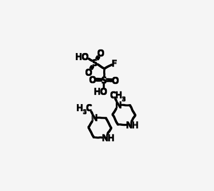 CN1CCNCC1.CN1CCNCC1.O=S(=O)(O)C(F)S(=O)(=O)O